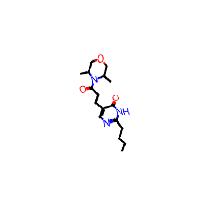 CCCCc1ncc(CCC(=O)N2C(C)COCC2C)c(=O)[nH]1